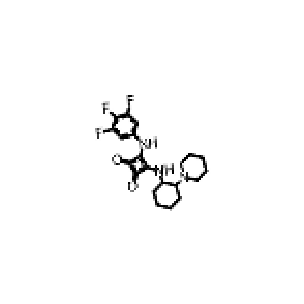 O=c1c(Nc2cc(F)c(F)c(F)c2)c(NC2CCCCC2N2CCCCC2)c1=O